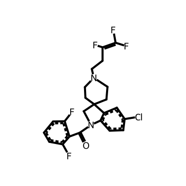 O=C(c1c(F)cccc1F)N1CC2(CCN(CCC(F)=C(F)F)CC2)c2cc(Cl)ccc21